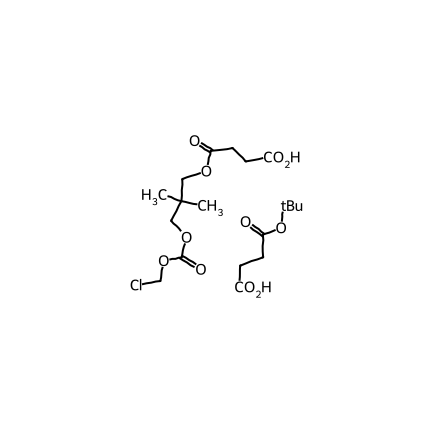 CC(C)(C)OC(=O)CCC(=O)O.CC(C)(COC(=O)CCC(=O)O)COC(=O)OCCl